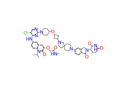 CNC(=O)COc1cc2cc(Nc3nc(N4CCC(OC5CC(N6CCC7(CCN(c8ccc9c(c8)CN(C8CCC(=O)NC8=O)C9=O)CC7)C6)C5)CC4)ncc3Cl)ccc2n(C(C)C)c1=O